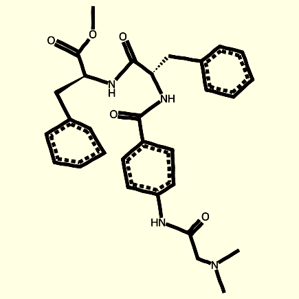 COC(=O)[C@H](Cc1ccccc1)NC(=O)[C@H](Cc1ccccc1)NC(=O)c1ccc(NC(=O)CN(C)C)cc1